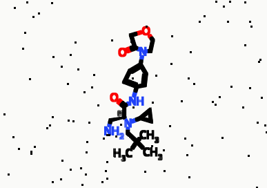 CC(C)(C)CN(C1CC1)[C@@H](CN)C(=O)Nc1ccc(N2CCOCC2=O)cc1